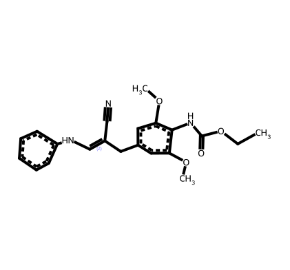 CCOC(=O)Nc1c(OC)cc(C/C(C#N)=C/Nc2ccccc2)cc1OC